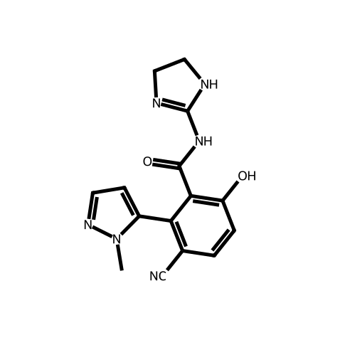 Cn1nccc1-c1c(C#N)ccc(O)c1C(=O)NC1=NCCN1